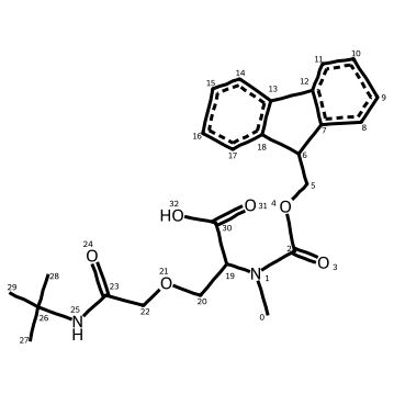 CN(C(=O)OCC1c2ccccc2-c2ccccc21)C(COCC(=O)NC(C)(C)C)C(=O)O